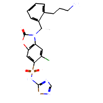 C[C@@H](c1ccccc1CCCN)n1c(=O)oc2cc(S(=O)(=O)Nc3ncns3)c(F)cc21